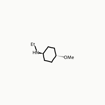 CCN[C@H]1CC[C@H](OC)CC1